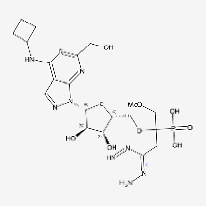 COCC(C/C(N=N)=N/N)(OC[C@H]1O[C@@H](n2ncc3c(NC4CCC4)nc(CO)nc32)[C@H](O)[C@@H]1O)P(=O)(O)O